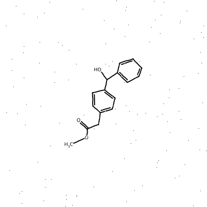 COC(=O)Cc1ccc(C(O)c2ccccc2)cc1